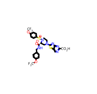 O=C(O)c1ncc2sc(N3CCN(S(=O)(=O)c4ccc(OC(F)(F)F)cc4)[C@@H](C(=O)NCc4ccc(OC(F)(F)F)cc4)C3)nc2n1